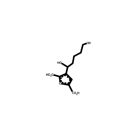 O=C(O)c1cc(C(O)CCCCO)c(C(=O)O)o1